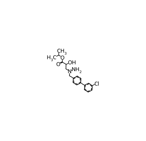 CC(C)OC(=O)C(O)CN(N)Cc1ccc(-c2cccc(Cl)c2)cc1